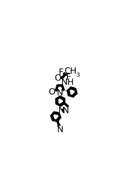 CC(F)(F)C(=O)N[C@@H]1CC(=O)N(c2ccc3c(cnn3-c3cccc(C#N)c3)c2)[C@H]1c1ccccc1